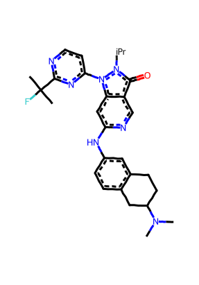 CC(C)n1c(=O)c2cnc(Nc3ccc4c(c3)CCC(N(C)C)C4)cc2n1-c1ccnc(C(C)(C)F)n1